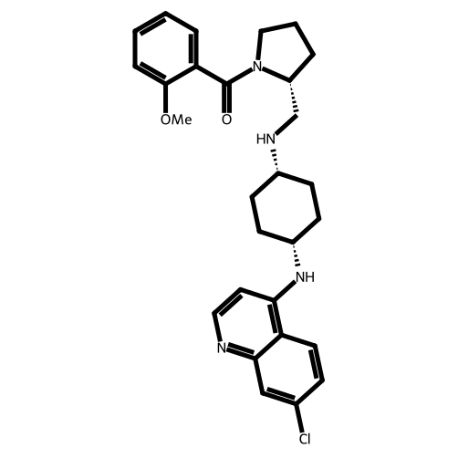 COc1ccccc1C(=O)N1CCC[C@@H]1CN[C@H]1CC[C@@H](Nc2ccnc3cc(Cl)ccc23)CC1